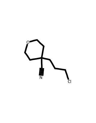 N#CC1(CCCCl)CCOCC1